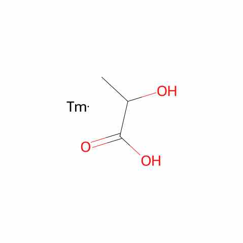 CC(O)C(=O)O.[Tm]